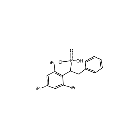 CC(C)c1cc(C(C)C)c(C(Cc2ccccc2)P(=O)(O)Cl)c(C(C)C)c1